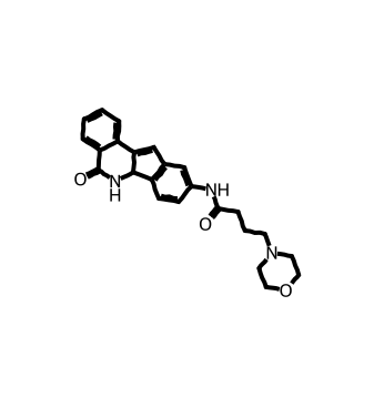 O=C(CCCN1CCOCC1)Nc1ccc2c(c1)C=C1c3ccccc3C(=O)NC12